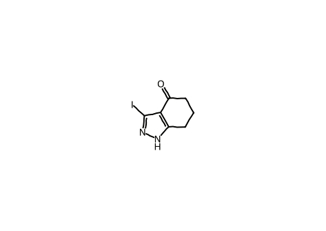 O=C1CCCc2[nH]nc(I)c21